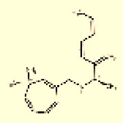 C=C(/C=C\C=C/C)[C@@H](C)NCC1=C[C@](C)(N)C=CC=C1